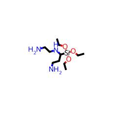 CCO[Si](OCC)(OCC)C(CCN)NCCN